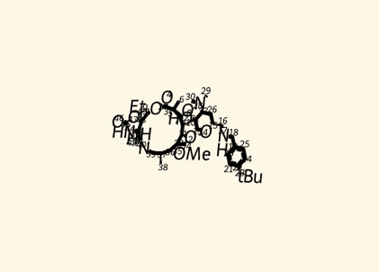 CC[C@@H]1OC(=O)C(C)C(=O)[C@H](C)[C@@H](O[C@@H]2O[C@H](CNCc3ccc(C(C)(C)C)cc3)CC(N(C)C)C2O)[C@](C)(OC)C[C@@H](C)CN[C@H](C)[C@H]2NC(=O)O[C@]12C